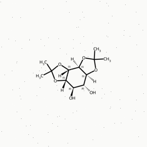 CC1(C)O[C@@H]2[C@H]3OC(C)(C)O[C@H]3[C@H](O)[C@@H](O)[C@@H]2O1